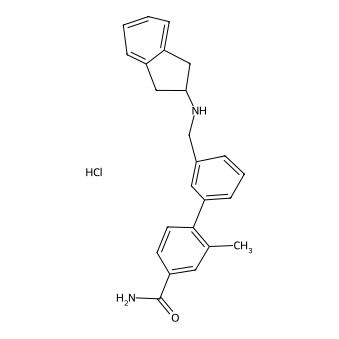 Cc1cc(C(N)=O)ccc1-c1cccc(CNC2Cc3ccccc3C2)c1.Cl